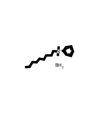 B.CCCCCCCCC[N+](C)(C)c1ccccc1